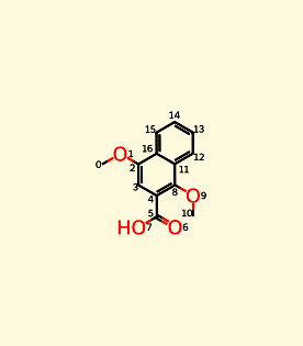 COc1cc(C(=O)O)c(OC)c2ccccc12